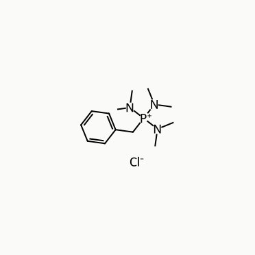 CN(C)[P+](Cc1ccccc1)(N(C)C)N(C)C.[Cl-]